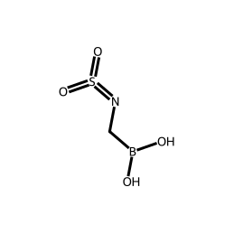 O=S(=O)=NCB(O)O